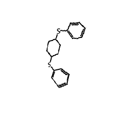 c1ccc(SC2CCC(Sc3ccccc3)CC2)cc1